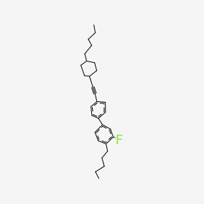 CCCCCc1ccc(-c2ccc(C#CC3CCC(CCCCC)CC3)cc2)cc1F